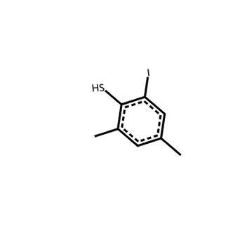 Cc1cc(C)c(S)c(I)c1